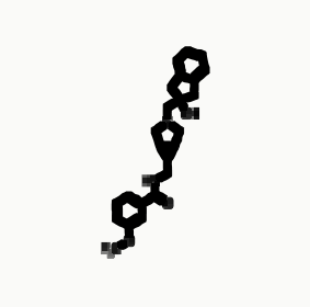 O=C(NCC1C2CN(CC3(O)Cc4ccccc4C3)CC12)c1cccc(OC(F)(F)F)c1